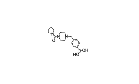 O=C(N1CCCC1)N1CCN(Cc2ccc(B(O)O)cc2)CC1